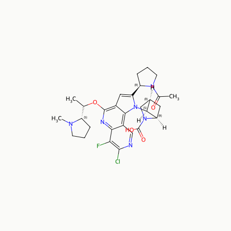 CC(=O)N1CCC[C@@H]1c1cc2c(OC(C)[C@@H]3CCCN3C)nc3c(F)c(Cl)ncc3c2n1[C@H]1[C@@H]2C[C@H]1N(C(=O)O)C2